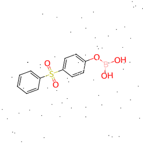 O=S(=O)(c1ccccc1)c1ccc(OB(O)O)cc1